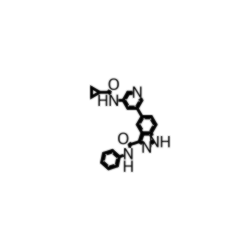 O=C(Nc1ccccc1)c1n[nH]c2ccc(-c3cncc(NC(=O)C4CC4)c3)cc12